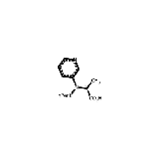 CCCCCN(c1cccnc1)[C@@H](C)C(=O)O